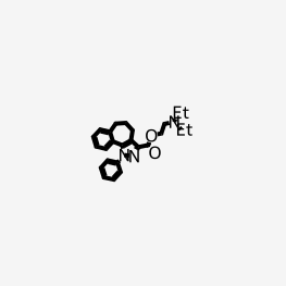 CCN(CC)CCOC(=O)c1nn(-c2ccccc2)c2c1CCCc1ccccc1-2